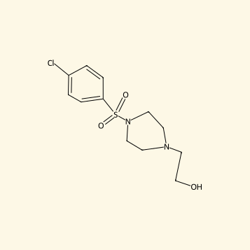 O=S(=O)(c1ccc(Cl)cc1)N1CCN(CCO)CC1